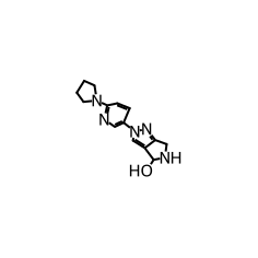 OC1NCc2nn(-c3ccc(N4CCCC4)nc3)cc21